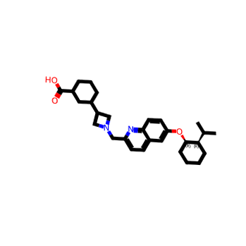 CC(C)[C@H]1CCCC[C@H]1Oc1ccc2nc(CN3CC(C4CCCC(C(=O)O)C4)C3)ccc2c1